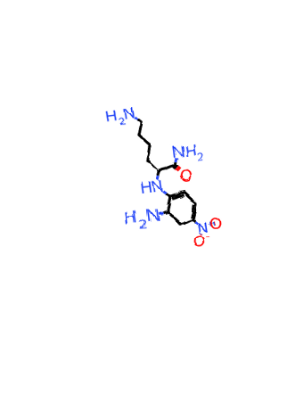 NCCCC[C@H](NC1=CC=C([N+](=O)[O-])CC1N)C(N)=O